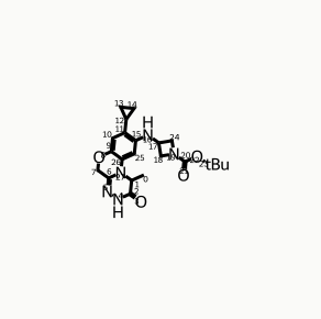 CC1C(=O)NN=C2COc3cc(C4CC4)c(NC4CN(C(=O)OC(C)(C)C)C4)cc3N21